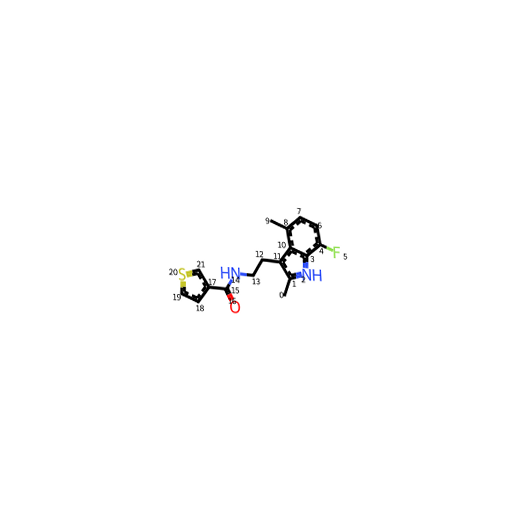 Cc1[nH]c2c(F)ccc(C)c2c1CCNC(=O)c1ccsc1